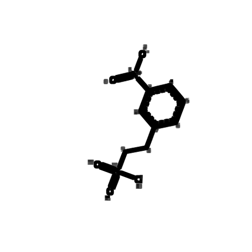 O=[N+]([O-])c1cccc(CCS(=O)(=O)Cl)c1